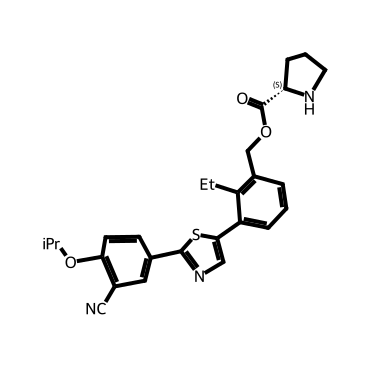 CCc1c(COC(=O)[C@@H]2CCCN2)cccc1-c1cnc(-c2ccc(OC(C)C)c(C#N)c2)s1